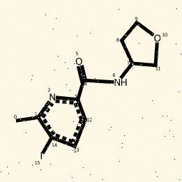 Cc1nc(C(=O)NC2CCOC2)ccc1I